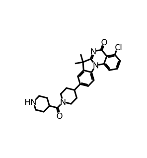 CC1(C)c2cc(C3CCN(C(=O)C4CCNCC4)CC3)ccc2-n2c1nc(=O)c1c(Cl)cccc12